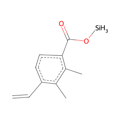 C=Cc1ccc(C(=O)O[SiH3])c(C)c1C